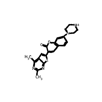 Cc1nc(C)c2cc(-c3cc4ccc(N5CCNCC5)cc4oc3=O)sc2n1